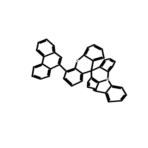 c1ccc2c(c1)Sc1c(-c3cc4ccccc4c4ccccc34)cccc1C21c2ccccc2-n2c3ccccc3c3cccc1c32